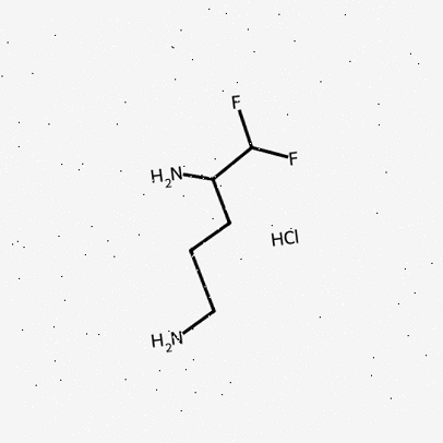 Cl.NCCCC(N)C(F)F